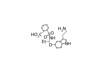 CCC(NS(=O)(=O)c1ccccc1C(=O)O)Oc1ccc2[nH]cc(CCN)c2c1